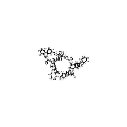 CCCCCC[C@H]1OC(=O)CNC(=O)[C@H]([C@H](C)OCc2ccccc2)NC(=O)[C@H](CNC(=O)OCc2ccccc2)NC(=O)[C@H](C2CCCCC2)NC(=O)[C@H](CC(C)C)N(C)C(=O)[C@@H]1Cc1ccc(-c2ccccc2)cc1